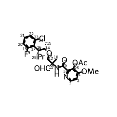 COc1ccnc(C(=O)N[C@](C)(C=O)CO[C@@H](C)[C@H](c2c(F)cccc2Cl)C(C)C)c1OC(C)=O